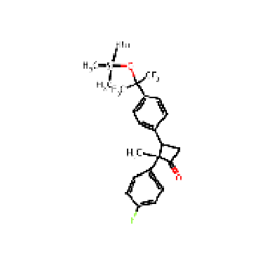 CC1(c2ccc(F)cc2)C(=O)CC1c1ccc(C(O[Si](C)(C)C(C)(C)C)(C(F)(F)F)C(F)(F)F)cc1